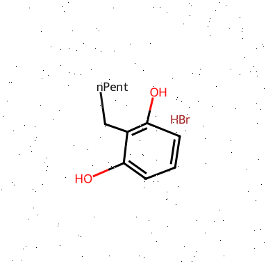 Br.CCCCCCc1c(O)cccc1O